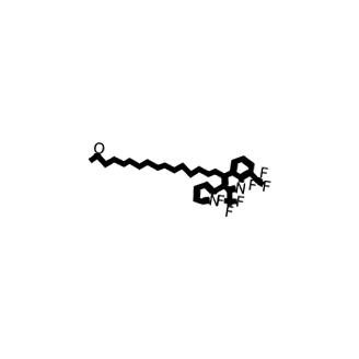 CC(=O)CCCCCCCCCCCCCCc1c(-c2ccccn2)c(C(F)(F)F)nc2c(C(F)(F)F)cccc12